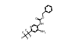 Nc1cc(C(F)(F)C(F)(F)F)ncc1NC(=O)OCc1ccccc1